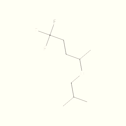 CC(C)COC(C)CCC(F)(F)F